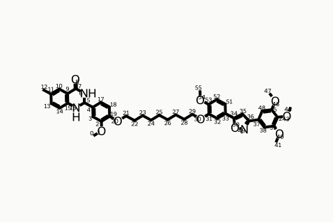 COc1cc(C2NC(=O)c3cc(C)ccc3N2)ccc1OCCCCCCCCCOc1cc(-c2cc(-c3cc(OC)c(OC)c(OC)c3)no2)ccc1OC